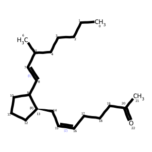 CCCCCC(C)/C=C/C1CCC[C@@H]1C/C=C\CCCC(C)=O